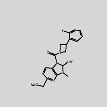 COCc1ncc2c(n1)N(C)C(C=O)N2C(=O)N1CC(c2ccccc2F)C1